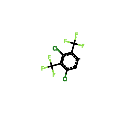 FC(F)(F)c1[c]cc(Cl)c(C(F)(F)F)c1Cl